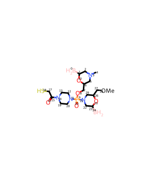 BC1CN(C)CC(COP(=O)(N2CCN(C(=O)CS)CC2)N2CC(B)OC(COC)C2)O1